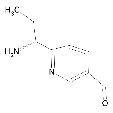 CC[C@@H](N)c1ccc(C=O)cn1